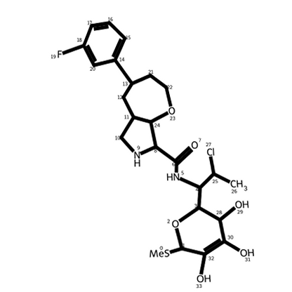 CSC1OC(C(NC(=O)C2NCC3CC(c4cccc(F)c4)CCOC32)C(C)Cl)C(O)C(O)=C1O